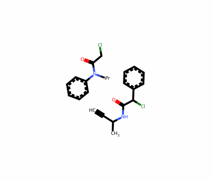 C#CC(C)NC(=O)C(Cl)c1ccccc1.CC(C)N(C(=O)CCl)c1ccccc1